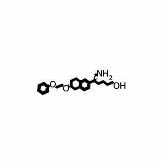 NC[C@H](CCCCO)c1ccc2c(c1)CC[C@H](OCCOc1ccccc1)C2